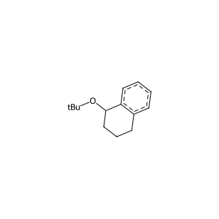 CC(C)(C)OC1CCCc2ccccc21